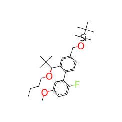 CCCCO[C@H](c1cc(CO[Si](C)(C)C(C)(C)C)ccc1-c1cc(OC)ccc1F)C(C)(C)C